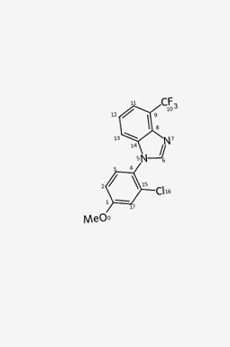 COc1ccc(-n2cnc3c(C(F)(F)F)cccc32)c(Cl)c1